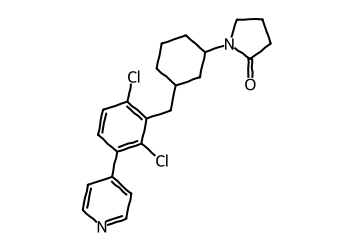 O=C1CCCN1C1CCCC(Cc2c(Cl)ccc(-c3ccncc3)c2Cl)C1